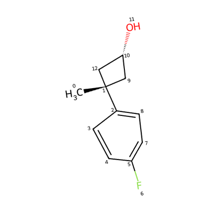 C[C@]1(c2ccc(F)cc2)C[C@@H](O)C1